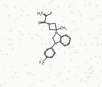 C=C(F)C(=O)N1CC(C)(N2CN(c3ccc(C(F)(F)F)cc3)c3ccccc32)C1